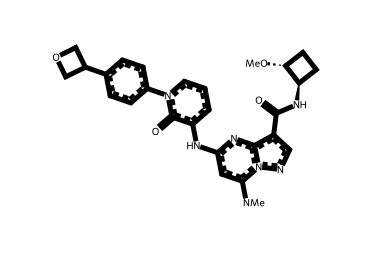 CNc1cc(Nc2cccn(-c3ccc(C4COC4)cc3)c2=O)nc2c(C(=O)N[C@@H]3CC[C@H]3OC)cnn12